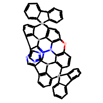 c1ccc2c(c1)-c1ccccc1[Si]21c2cccc3c2B2c4c1ccc1c4[N+]4(c5c(ccc6c5B5c7c(cccc7[Si]67c6ccccc6-c6ccccc67)-c6cnc[n+]4c65)O1)[n+]1cncc-3c12